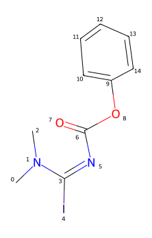 CN(C)/C(I)=N\C(=O)Oc1ccccc1